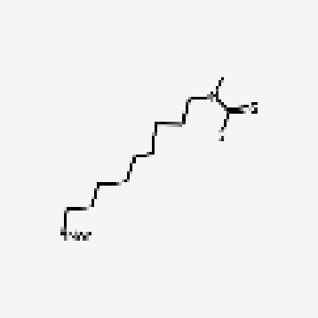 CCCCCCCCCCCCCCCCCCN(C)C(=S)S